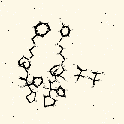 O=C(OC1C[N+]2(CCOCc3ccccc3)CCC1CC2)[C@](O)(c1cccs1)C1CCCC1.O=C(O[C@H]1C[N+]2(CCCOc3cccc(O)c3)CCC1CC2)[C@](O)(c1cccs1)C1CCCC1.O=C([O-])C(F)(F)F.O=C([O-])C(F)(F)F